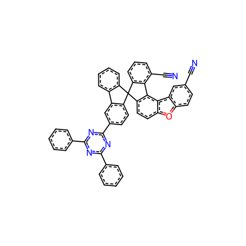 N#Cc1ccc2oc3ccc4c(c3c2c1)-c1c(C#N)cccc1C41c2ccccc2-c2cc(-c3nc(-c4ccccc4)nc(-c4ccccc4)n3)ccc21